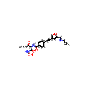 CNC(=O)C(C(=O)NO)N(C)C(=O)c1ccc(C#Cc2coc(CNCC(F)(F)F)c2)cc1